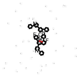 Fc1cccc(F)c1-c1ccc(-n2c3ccccc3c3cc(-c4ccnc(-c5ccccc5)c4)ccc32)c(C(F)(F)F)c1-n1c2ccccc2c2cc(-c3ccnc(-c4ccccc4)c3)ccc21